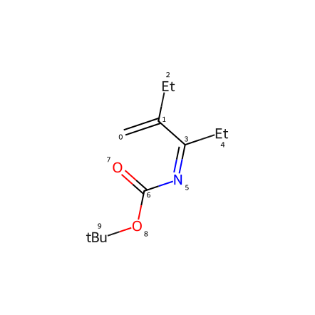 C=C(CC)/C(CC)=N\C(=O)OC(C)(C)C